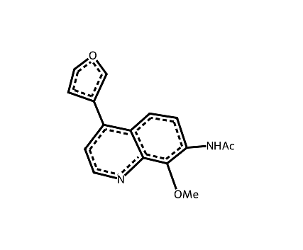 COc1c(NC(C)=O)ccc2c(-c3ccoc3)ccnc12